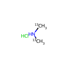 Cl.[13CH3]N[13CH3]